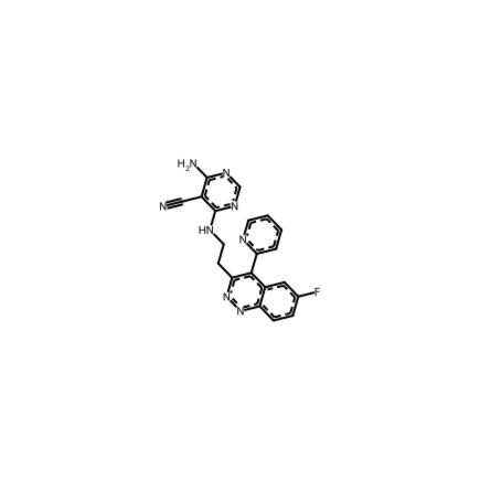 N#Cc1c(N)ncnc1NCCc1nnc2ccc(F)cc2c1-c1ccccn1